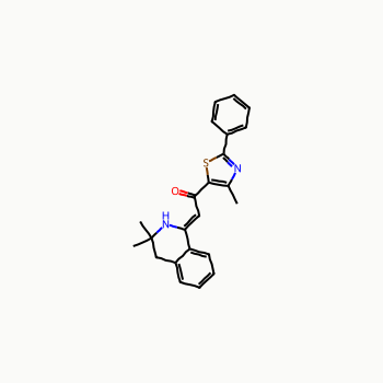 Cc1nc(-c2ccccc2)sc1C(=O)C=C1NC(C)(C)Cc2ccccc21